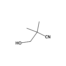 CC(C)(C#N)CO